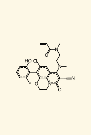 C=CC(=O)N(C)CCN(C)c1c(C#N)c(=O)n2c3c(c(-c4c(O)cccc4F)c(Cl)cc13)OCC2